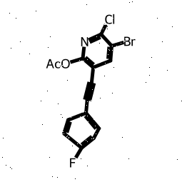 CC(=O)Oc1nc(Cl)c(Br)cc1C#Cc1ccc(F)cc1